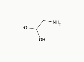 NCC([O])O